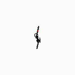 CCCCCCCCCCOc1ccc(-c2ccc(CCCCCCCC)nn2)cc1